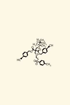 C#Cc1ccc(COC(=O)C(COCSS(=O)(=O)c2ccc(C)cc2)(CO[Si](C)(C)C(C)(C)C)C(=O)OCc2ccc(C#C)cc2)cc1